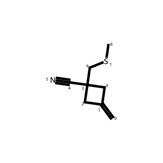 C=C1CC(C#N)(CSC)C1